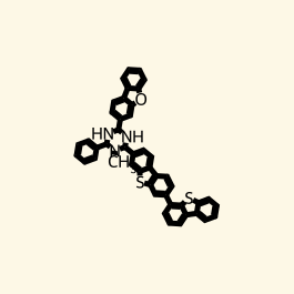 CN1C(c2ccccc2)NC(c2ccc3c(c2)oc2ccccc23)NC1c1ccc2c(c1)sc1cc(-c3cccc4c3sc3ccccc34)ccc12